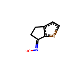 ON=C1CCc2ccsc21